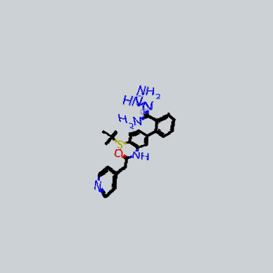 CC(C)(C)Sc1ccc(-c2ccccc2/C(N)=N/NN)cc1NC(=O)Cc1ccncc1